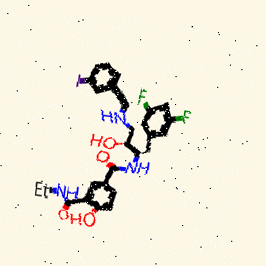 CCNC(=O)c1cc(C(=O)N[C@@H](Cc2cc(F)cc(F)c2)[C@H](O)CNCc2cccc(I)c2)ccc1O